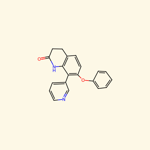 O=C1CCc2ccc(Oc3ccccc3)c(-c3cccnc3)c2N1